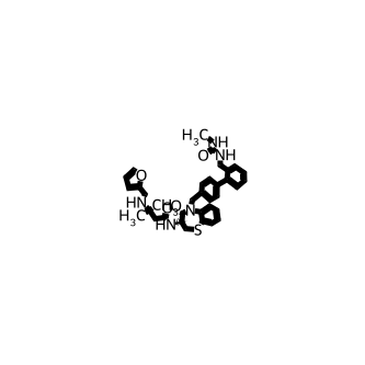 CNC(=O)NCc1ccccc1-c1ccc(CN2C(=O)[C@H](NC(=O)CC(C)(C)NCc3ccco3)CSc3ccccc32)cc1